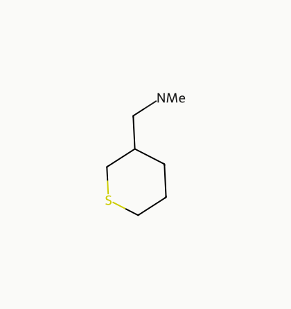 CNCC1CCCSC1